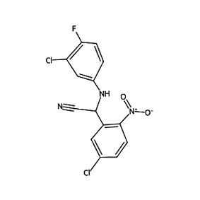 N#CC(Nc1ccc(F)c(Cl)c1)c1cc(Cl)ccc1[N+](=O)[O-]